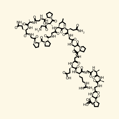 CSCC[C@H](NC(=O)CNC(=O)[C@H](CCC(N)=O)NC(=O)[C@H](CC(C)C)NC(=O)CNC(=O)[C@@H]1CCCN1C(=O)[C@@H]1CCCN1C(=O)CNC(=O)[C@H](CCC(N)=O)NC(=O)[C@H](C)NC(=O)CNC(=O)[C@@H]1CCCN1C(=O)[C@H](C)NC(=O)CN)C(=O)N1CCC[C@H]1C(=O)NCC(=O)N[C@@H](CCC(=O)O)C(=O)N[C@@H](CCCNC(=N)N)C(=O)NCC(=O)N[C@@H](C)C(=O)N[C@@H](C)C(=O)NCC(=O)N[C@@H](CC(C)C)C(=O)N1CCC[C@H]1C(=O)O